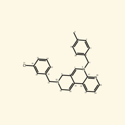 Cc1ccc(CN2C=C3CN(Cc4cccc(Cl)c4)CC=C3c3cccnc32)cc1